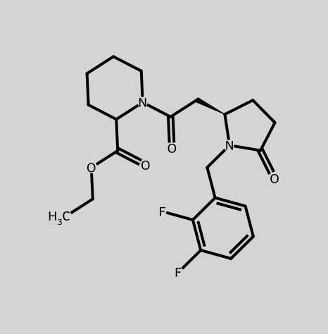 CCOC(=O)C1CCCCN1C(=O)C[C@H]1CCC(=O)N1Cc1cccc(F)c1F